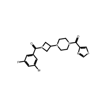 O=C(c1cc(F)cc(Br)c1)N1CC(N2CCN(C(=O)c3cscn3)CC2)C1